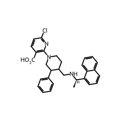 C[C@@H](NCC1CCN(c2nc(Cl)ccc2C(=O)O)CC1c1ccccc1)c1cccc2ccccc12